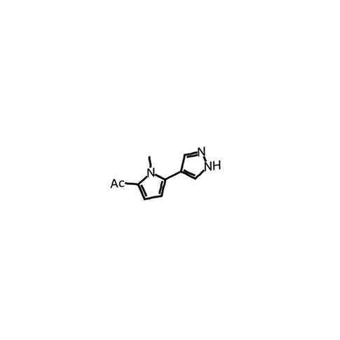 CC(=O)c1ccc(-c2cn[nH]c2)n1C